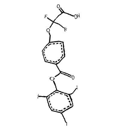 O=C(Oc1c(I)cc(I)cc1I)c1ccc(OC(F)(F)C(=O)O)cc1